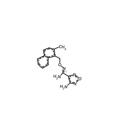 Cc1ccc2ccccc2c1CO/N=C(\N)c1nonc1N